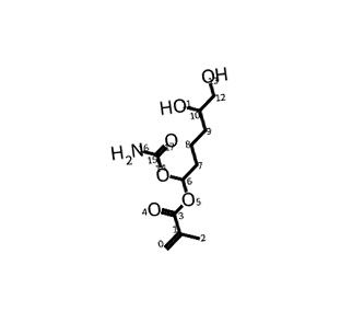 C=C(C)C(=O)OC(CCCC(O)CO)OC(N)=O